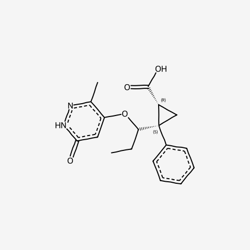 CCC(Oc1cc(=O)[nH]nc1C)[C@@]1(c2ccccc2)C[C@H]1C(=O)O